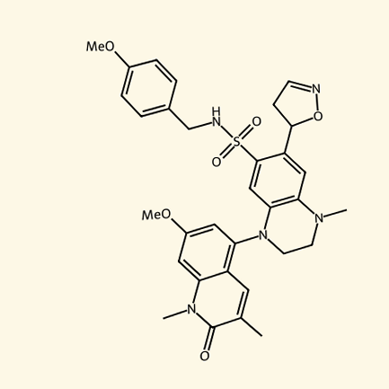 COc1ccc(CNS(=O)(=O)c2cc3c(cc2C2CC=NO2)N(C)CCN3c2cc(OC)cc3c2cc(C)c(=O)n3C)cc1